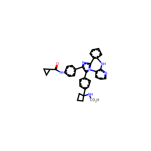 O=C(O)NC1(c2ccc(-c3c(-c4ccc(NC(=O)C5CC5)cc4)nc4n3-c3cccnc3Nc3ccccc3-4)cc2)CCC1